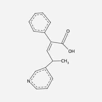 CC(C=C(C(=O)O)c1ccccc1)c1cccnc1